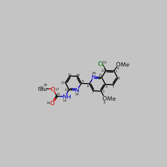 COc1ccc2c(OC)cc(-c3cccc(NC(=O)OC(C)(C)C)n3)nc2c1Cl